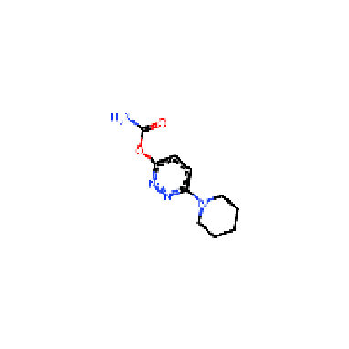 NC(=O)Oc1ccc(N2CCCCC2)nn1